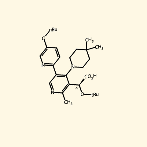 CCCCOc1ccc(-c2cnc(C)c([C@H](OC(C)(C)C)C(=O)O)c2N2CCC(C)(C)CC2)nc1